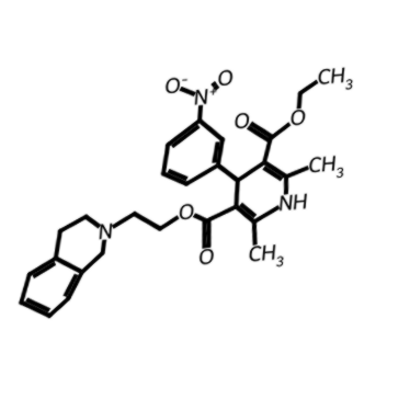 CCOC(=O)C1=C(C)NC(C)=C(C(=O)OCCN2CCc3ccccc3C2)C1c1cccc([N+](=O)[O-])c1